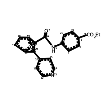 CCOC(=O)c1ccc(NC(=O)c2c(-c3ccncc3)c3ccc2o3)cc1